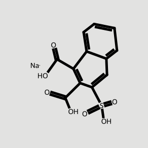 O=C(O)c1c(S(=O)(=O)O)cc2ccccc2c1C(=O)O.[Na]